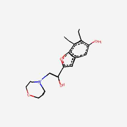 Cc1c(O)cc2cc(C(O)CN3CCOCC3)oc2c1C